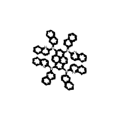 c1ccc2cc(N(c3ccc4ccccc4n3)c3cc(N(c4ccc5ccccc5c4)c4ccc5ccccc5n4)c4ccc5c(N(c6ccc7ccccc7c6)c6ccc7ccccc7n6)cc(N(c6ccc7ccccc7c6)c6ccc7ccccc7n6)c6ccc3c4c65)ccc2c1